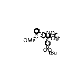 COCOc1ccccc1N1CCc2c(nc(OC(C)CN(C)C)c(C#N)c2N2CCN(C(=O)OC(C)(C)C)CC2)C1